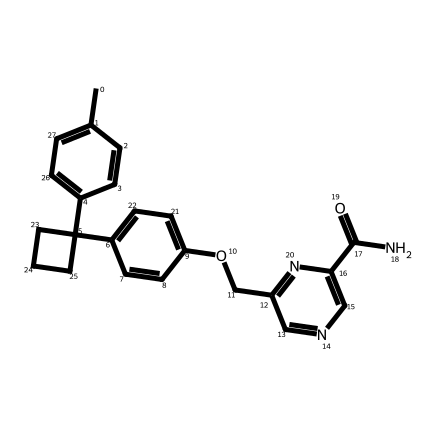 Cc1ccc(C2(c3ccc(OCc4cncc(C(N)=O)n4)cc3)CCC2)cc1